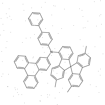 Cc1ccc2c(c1)C1(c3cc(C)ccc3-2)c2cc(C)ccc2-c2c(N(c3ccc(-c4ccccc4)cc3)c3ccc4c5ccccc5c5ccccc5c4c3)cccc21